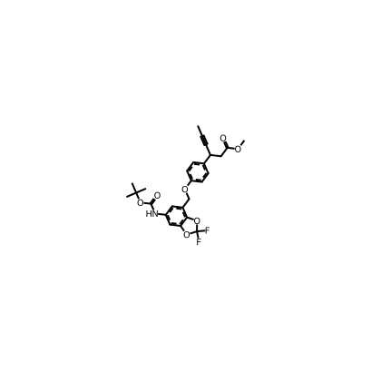 CC#CC(CC(=O)OC)c1ccc(OCc2cc(NC(=O)OC(C)(C)C)cc3c2OC(F)(F)O3)cc1